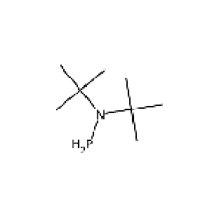 CC(C)(C)N(P)C(C)(C)C